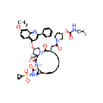 CNC(=O)O[C@H]1CCN(C(=O)C[C@H]2CCCCC/C=C\C3C[C@@]3(C(=O)NS(=O)(=O)C3CC3)NC(=O)[C@@H]3C[C@@H](Oc4cc(-c5ccccc5)nc5cc(OC)ccc45)CN3C2=O)C1